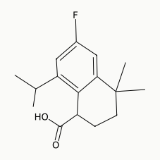 CC(C)c1cc(F)cc2c1C(C(=O)O)CCC2(C)C